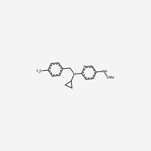 CONc1ccc(N(Cc2ccc(C(F)(F)F)cc2)C2CC2)nc1